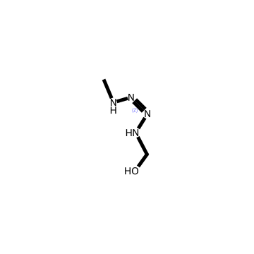 CN/N=N\NCO